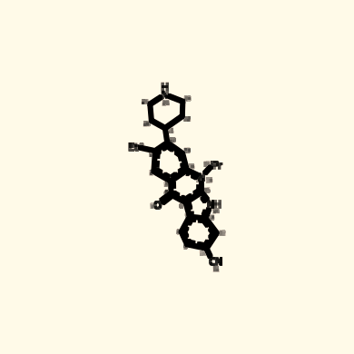 CCc1cc2c(=O)c3c4ccc(C#N)cc4[nH]c3n(C(C)C)c2cc1C1CCNCC1